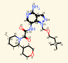 C[C@H]1CC[C@H](C2CCOCC2)N(C(=O)C(=O)Nc2cnc(N)c3cnn(COCC[Si](C)(C)C)c23)C1